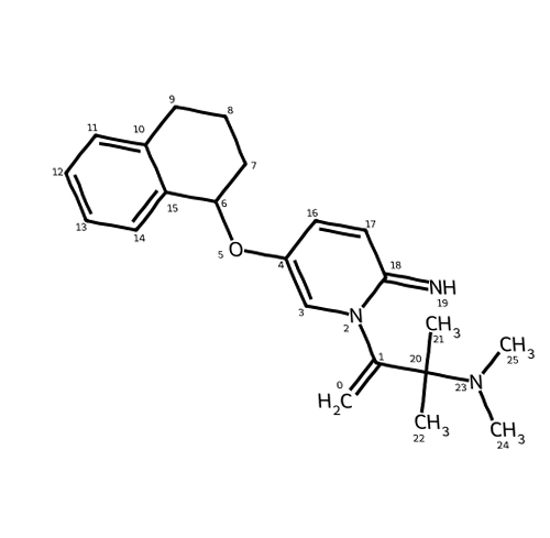 C=C(n1cc(OC2CCCc3ccccc32)ccc1=N)C(C)(C)N(C)C